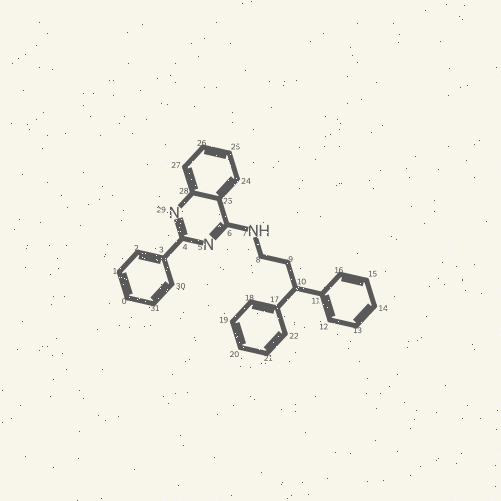 c1ccc(-c2nc(NCCC(c3ccccc3)c3ccccc3)c3ccccc3n2)cc1